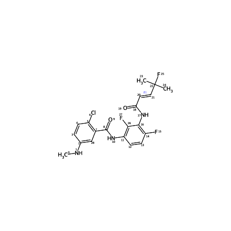 CNc1ccc(Cl)c(C(=O)Nc2ccc(F)c(NC(=O)/C=C/C(C)(C)F)c2F)c1